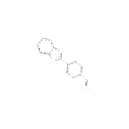 [CH]=Cc1ccc(-c2nc3ccccc3o2)cc1